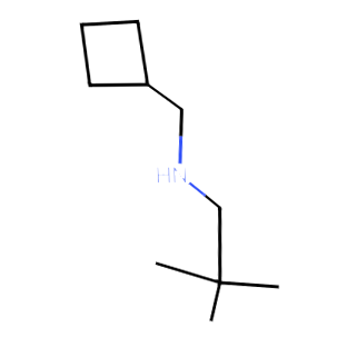 CC(C)(C)CNCC1CCC1